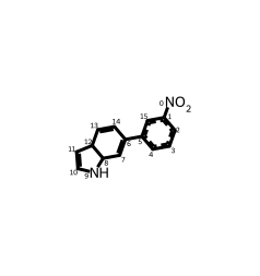 O=[N+]([O-])c1cccc(C2=CC3NC=CC3C=C2)c1